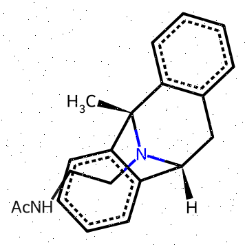 CC(=O)NCCN1[C@@H]2Cc3ccccc3[C@@]1(C)c1ccccc12